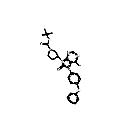 CC(C)(C)OC(=O)N1CCC(n2c(=O)n(-c3ccc(Oc4ccccc4)cc3)c3c(Cl)ncnc32)C1